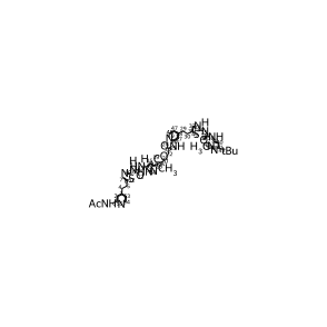 CC(=O)Nc1cc(CCc2cnc(NC(=O)Nc3cc(C(C)(C)COCC(=O)Nc4cc(CCc5cnc(NC(=O)Nc6cc(C(C)(C)C)nn6C)s5)ccn4)n[nH]3)s2)ccn1